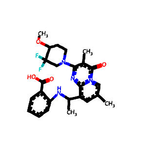 COC1CCN(c2nc3c(C(C)Nc4ccccc4C(=O)O)cc(C)cn3c(=O)c2C)CC1(F)F